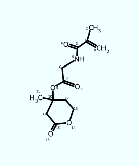 C=C(C)C(=O)NCC(=O)OC1(C)CCOC(=O)C1